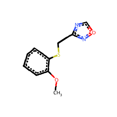 COc1ccccc1SCc1ncon1